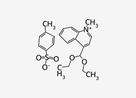 CCOC(OCC)c1cc[n+](C)c2ccccc12.Cc1ccc(S(=O)(=O)[O-])cc1